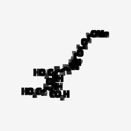 COCCOCCOCc1cn(CCCC[C@H](NC(=O)NC(CCC(=O)O)C(=O)O)C(=O)O)nn1